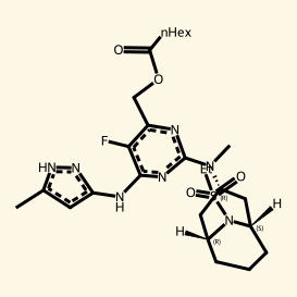 CCCCCCC(=O)OCc1nc(N(C)[C@H]2C[C@H]3CCC[C@@H](C2)N3S(=O)(=O)CC)nc(Nc2cc(C)[nH]n2)c1F